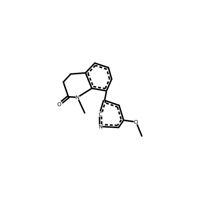 COc1cncc(-c2cccc3c2N(C)C(=O)CC3)c1